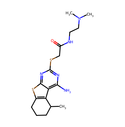 CC1CCCc2sc3nc(SCC(=O)NCCN(C)C)nc(N)c3c21